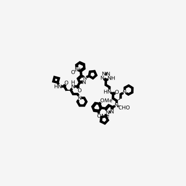 COc1cccc(OC)c1-c1cc(N(C=O)[C@@H](CCN2CCCCC2)CC(=O)NCCc2nnn[nH]2)nn1C1CCCC1.O=C(C[C@H](CCN1CCCCC1)NC(=O)c1cc(-c2cccc[n+]2[O-])n(C2CCCC2)n1)NC1CCC1